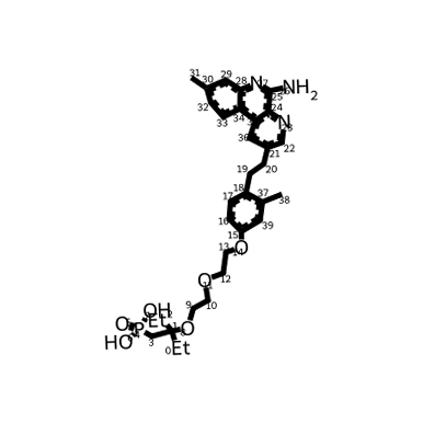 CCC(CC)(CP(=O)(O)O)OCCOCCOc1ccc(CCc2cnc3c(N)nc4cc(C)ccc4c3c2)c(C)c1